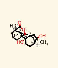 C[C@]12CCC[C@]3(COC1=O)[C@@H]2CC[C@@]12C[C@@H](CC[C@]13O)[C@](C)(O)C2